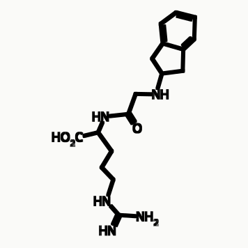 N=C(N)NCCCC(NC(=O)CNC1Cc2ccccc2C1)C(=O)O